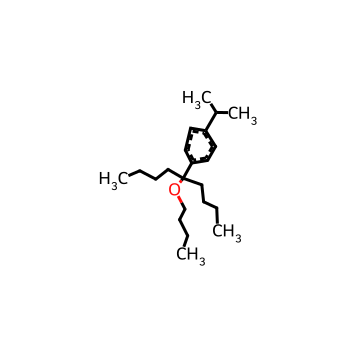 CCCCOC(CCCC)(CCCC)c1ccc(C(C)C)cc1